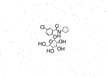 O=C(NC1CCCC1)c1cc(Cl)ccc1OC1OC(CO)C(O)C(O)C1O